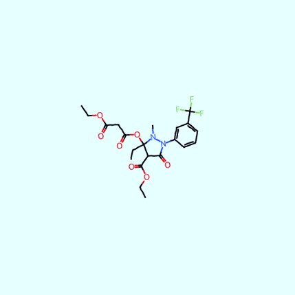 CCOC(=O)CC(=O)OC1(CC)C(C(=O)OCC)C(=O)N(c2cccc(C(F)(F)F)c2)N1C